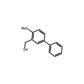 COc1ccc(-c2ccccc2)cc1CO